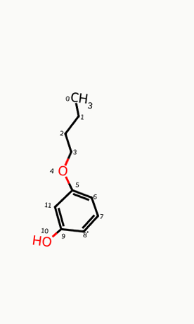 CCCCOc1cc[c]c(O)c1